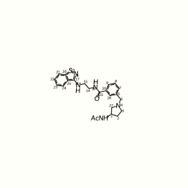 CC(=O)NC1CCN(Cc2cccc(C(=O)NCCNc3nsc4ccccc34)c2)C1